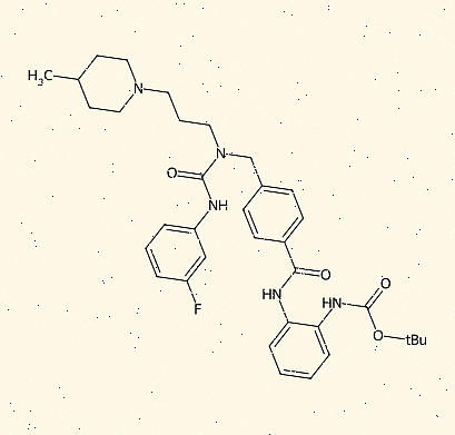 CC1CCN(CCCN(Cc2ccc(C(=O)Nc3ccccc3NC(=O)OC(C)(C)C)cc2)C(=O)Nc2cccc(F)c2)CC1